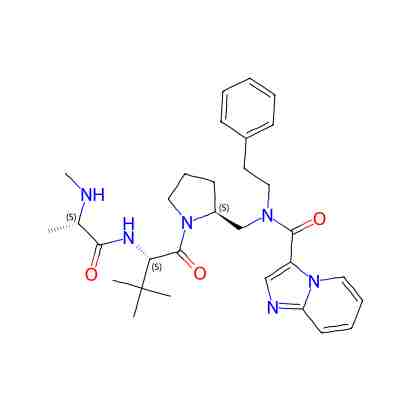 CN[C@@H](C)C(=O)N[C@H](C(=O)N1CCC[C@H]1CN(CCc1ccccc1)C(=O)c1cnc2ccccn12)C(C)(C)C